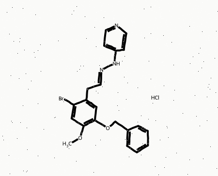 COc1cc(Br)c(CC=NNc2ccncc2)cc1OCc1ccccc1.Cl